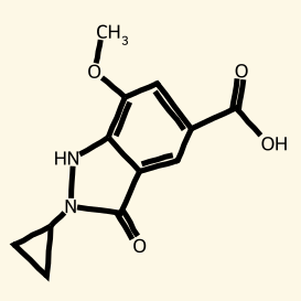 COc1cc(C(=O)O)cc2c(=O)n(C3CC3)[nH]c12